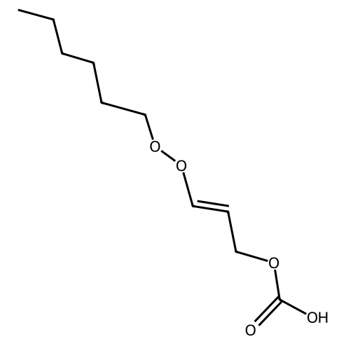 CCCCCCOOC=CCOC(=O)O